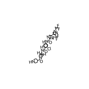 Cn1c(-c2cn(C3CC3(F)F)nc2C(F)(F)F)cnc1C(=O)Nc1ccc(C(=O)NC2[C@H]3CN(C(=O)C4CCNCC4)C[C@@H]23)c(Cl)c1